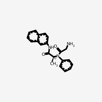 C[C@@H](C(=O)Nc1ccc2ccccc2c1)N(C(=O)CN)c1ccccc1